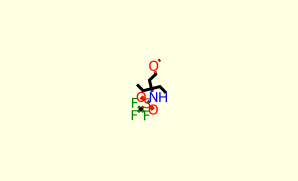 CCC(CC)(CCOC)NS(=O)(=O)C(F)(F)F